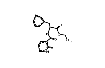 CCOC(=O)C(Cc1ccccc1)NC(=O)c1ccc[nH]c1=S